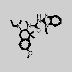 CCN(C)[C@@H]1Cc2ccc(OC)cc2C(C)(C)[C@H]1N(C)C(=O)Nc1nc2ccccc2n1CC